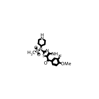 COc1ccc(C(=O)c2sc(N(C3CCNCC3)S(C)(=O)=O)nc2N)cc1F